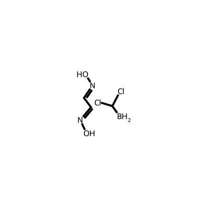 BC(Cl)Cl.ON=CC=NO